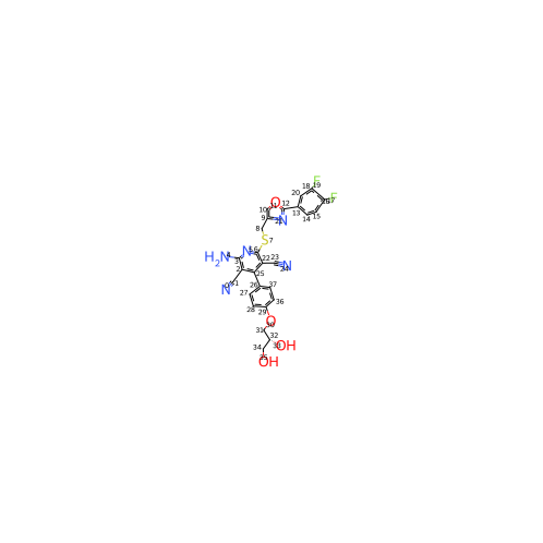 N#Cc1c(N)nc(SCc2coc(-c3ccc(F)c(F)c3)n2)c(C#N)c1-c1ccc(OC[C@H](O)CO)cc1